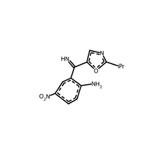 CC(C)c1ncc(C(=N)c2cc([N+](=O)[O-])ccc2N)o1